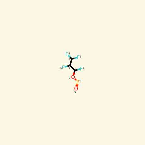 O=POC(F)C(F)C(F)F